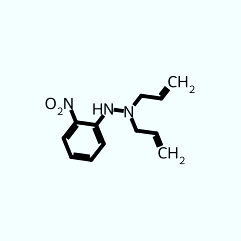 C=CCN(CC=C)Nc1ccccc1[N+](=O)[O-]